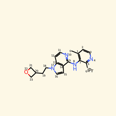 Cc1ccnc(C(C)C)c1Nc1nccc2c1ccn2CCC1COC1